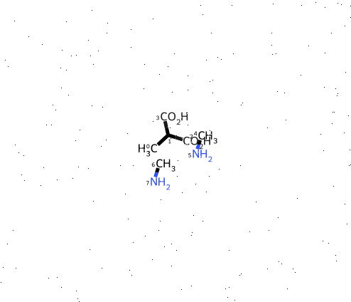 CC(C(=O)O)C(=O)O.CN.CN